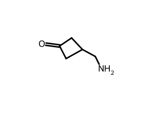 NCC1CC(=O)C1